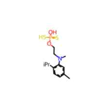 Cc1ccc(C(C)C)c(N(C)CCOP(O)(=S)S)c1